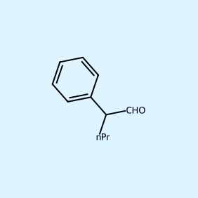 [CH2]CCC(C=O)c1ccccc1